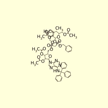 CC(=O)OCC1OC(OP(=O)(CP(=O)(OCc2ccccc2)OC[C@H]2O[C@@H](n3cnc4c(NC(c5ccccc5)(c5ccccc5)c5ccccc5)ncnc43)[C@@H](OC(C)=O)C2OC(C)=O)OCc2ccccc2)C(OC(C)=O)[C@@H](C)[C@@H]1C